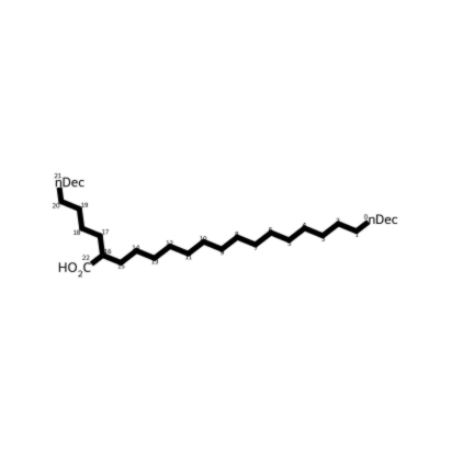 CCCCCCCCCCCCCCCCCCCCCCCCCC(CCCCCCCCCCCCCC)C(=O)O